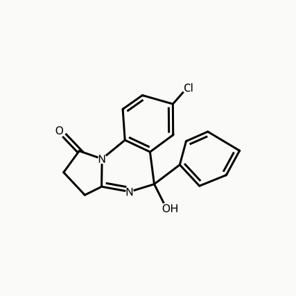 O=C1CCC2=NC(O)(c3ccccc3)c3cc(Cl)ccc3N12